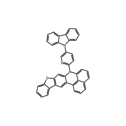 c1cc2c3c(cccc3c1)N(c1ccc(-n3c4ccccc4c4ccccc43)cn1)c1cc3sc4ccccc4c3cc1-2